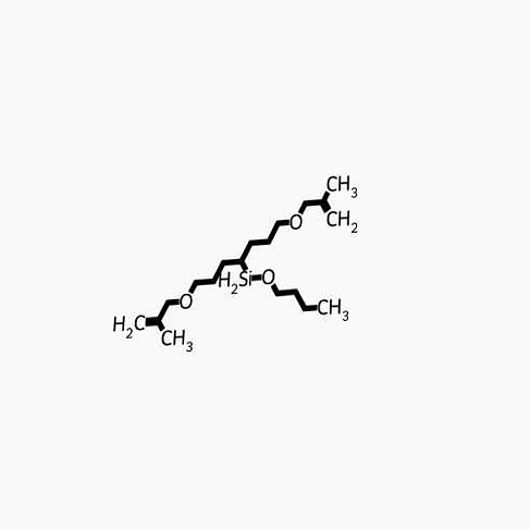 C=C(C)COCCCC(CCCOCC(=C)C)[SiH2]OCCCC